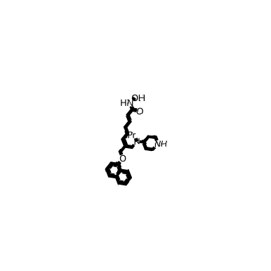 CC(C)N(C/C(=C\CCCCC(=O)NO)COc1cccc2ccccc12)C1CCNCC1